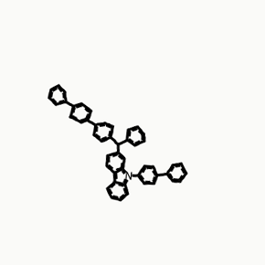 c1ccc(-c2ccc(-c3ccc(C(c4ccccc4)c4ccc5c6ccccc6n(-c6ccc(-c7ccccc7)cc6)c5c4)cc3)cc2)cc1